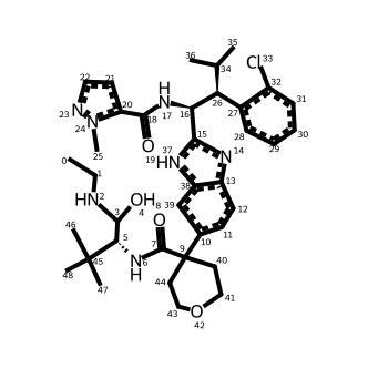 CCNC(O)[C@H](NC(=O)C1(c2ccc3nc([C@@H](NC(=O)c4ccnn4C)[C@H](c4ccccc4Cl)C(C)C)[nH]c3c2)CCOCC1)C(C)(C)C